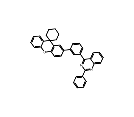 c1ccc(-c2nc(-c3cccc(-c4ccc5c(c4)C4(CCCCC4)c4ccccc4O5)c3)c3ccccc3n2)cc1